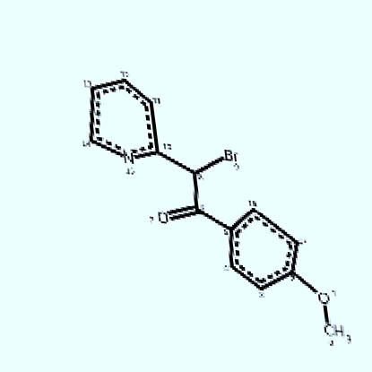 COc1ccc(C(=O)C(Br)c2ccccn2)cc1